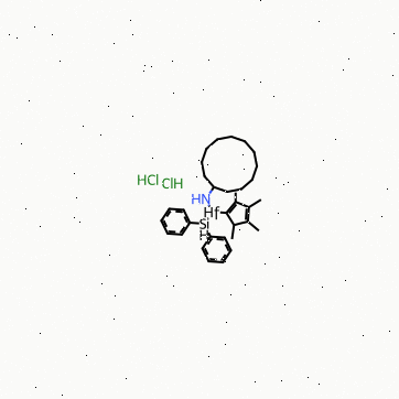 CC1=C(C)C(C)[C]([Hf]([NH]C2CCCCCCCCCCC2)[SiH](c2ccccc2)c2ccccc2)=C1C.Cl.Cl